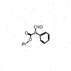 CC(C)OC(=O)N(C=O)c1ccccc1